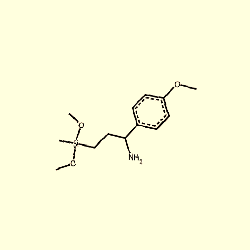 COc1ccc(C(N)CC[Si](C)(OC)OC)cc1